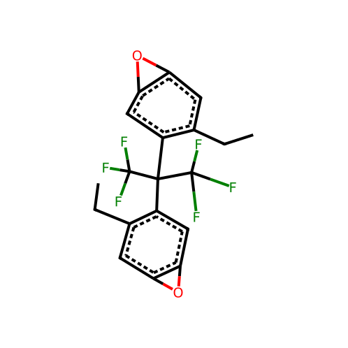 CCc1cc2c(cc1C(c1cc3c(cc1CC)O3)(C(F)(F)F)C(F)(F)F)O2